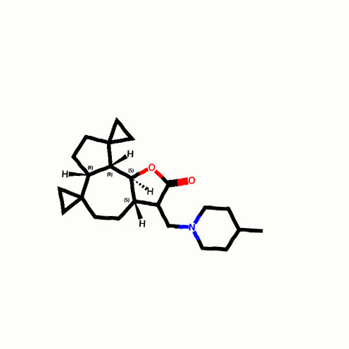 CC1CCN(CC2C(=O)O[C@@H]3[C@@H]4[C@@H](CCC45CC5)C4(CC[C@@H]23)CC4)CC1